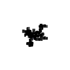 CO/C=C/c1c(OC[C@@H]2CCCN2C)nc2c(F)c(Br)c(Cl)cc2c1N[C@H]1CCN(C(=O)OC(C)(C)C)[C@H](CCO[Si](C)(C)C(C)(C)C)C1